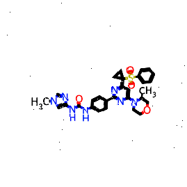 C[C@H]1COCCN1c1cc(C2(S(=O)(=O)c3ccccc3)CC2)nc(-c2ccc(NC(=O)Nc3cn(C)cn3)cc2)n1